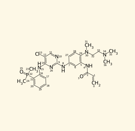 C=CC(=O)Nc1cc(Nc2ncc(Cl)c(Nc3ccccc3P(C)(C)=O)n2)ccc1N(C)CCN(C)C